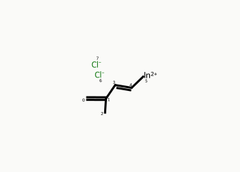 C=C(C)C=[CH][In+2].[Cl-].[Cl-]